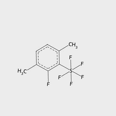 Cc1ccc(C)c(S(F)(F)(F)(F)F)c1F